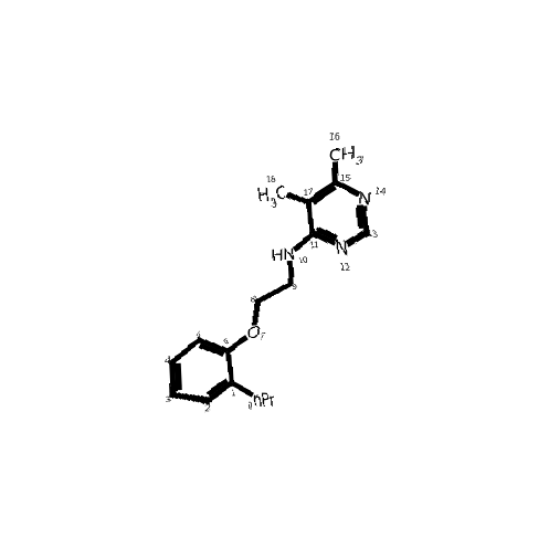 CCCc1ccccc1OCCNc1ncnc(C)c1C